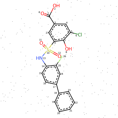 O=C(O)c1cc(Cl)c(O)c(S(=O)(=O)Nc2ccc(-c3ccccc3)cc2F)c1